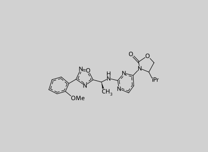 COc1ccccc1-c1noc([C@H](C)Nc2nccc(N3C(=O)OCC3C(C)C)n2)n1